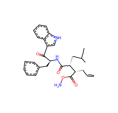 C=CC[C@H](C(=O)ON)[C@@H](CC(C)C)C(=O)N[C@@H](Cc1ccccc1)C(=O)c1c[nH]c2ccccc12